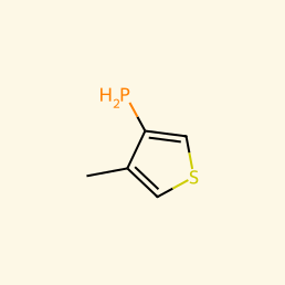 Cc1cscc1P